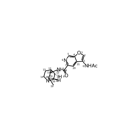 CC(=O)Nc1coc2cnc(C(=O)N[C@@H]3C4CCN(CC4)[C@H]3C)cc12